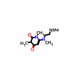 CNCCN(C)C1=CC(=O)C(C)C(=O)N1C